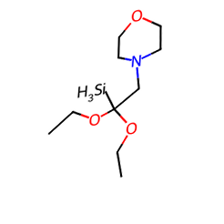 CCOC([SiH3])(CN1CCOCC1)OCC